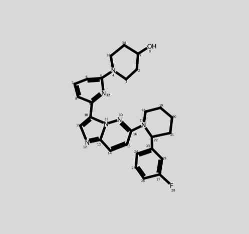 OC1CCN(c2cccc(-c3cnc4ccc(N5CCCCC5c5cccc(F)c5)nn34)n2)CC1